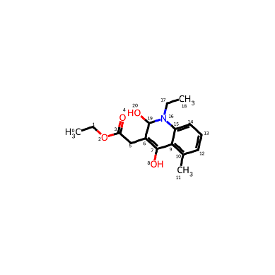 CCOC(=O)CC1=C(O)c2c(C)cccc2N(CC)C1O